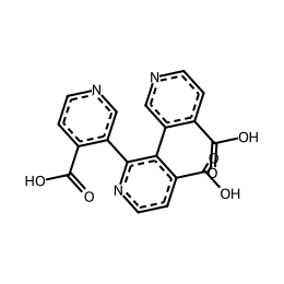 O=C(O)c1ccncc1-c1nccc(C(=O)O)c1-c1cnccc1C(=O)O